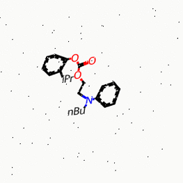 CCCCN(CCOC(=O)Oc1ccccc1C(C)C)c1ccccc1